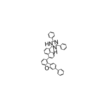 c1ccc(C2=NC(c3ccccc3)NC(c3cccc4c(-c5cccc6oc7cc(-c8ccccc8)ccc7c56)cccc34)N2)cc1